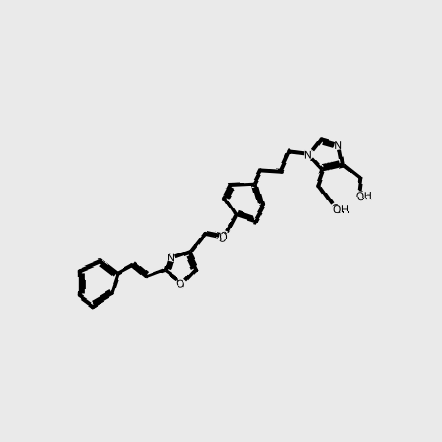 OCc1ncn(CCCc2ccc(OCc3coc(C=Cc4ccccc4)n3)cc2)c1CO